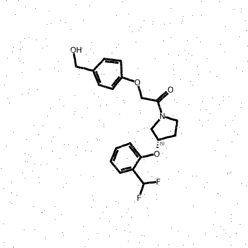 O=C(COc1ccc(CO)cc1)N1CC[C@H](Oc2ccccc2C(F)F)C1